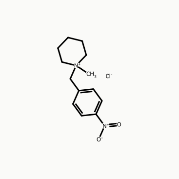 C[N+]1(Cc2ccc([N+](=O)[O-])cc2)CCCCC1.[Cl-]